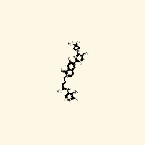 CC(CCCn1ccc2cc(-c3ncc(C(F)(F)F)c(N4CC(C)(O)C4)n3)c(F)cc2c1=O)Nc1cn[nH]c(=O)c1C(F)(F)F